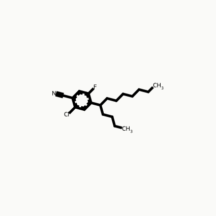 CCCCCCCC(CCCC)c1cc(Cl)c(C#N)cc1F